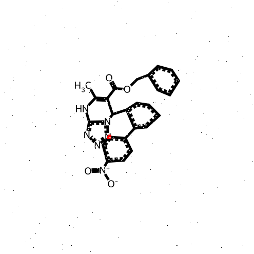 CC1=C(C(=O)OCc2ccccc2)C(c2ccccc2-c2ccc([N+](=O)[O-])cc2)n2nnnc2N1